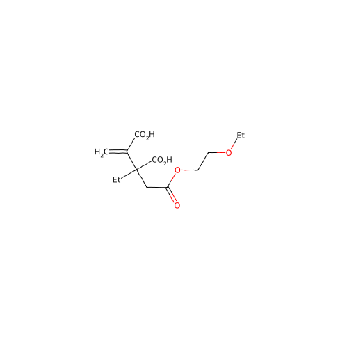 C=C(C(=O)O)C(CC)(CC(=O)OCCOCC)C(=O)O